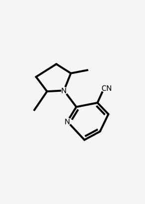 CC1CCC(C)N1c1ncccc1C#N